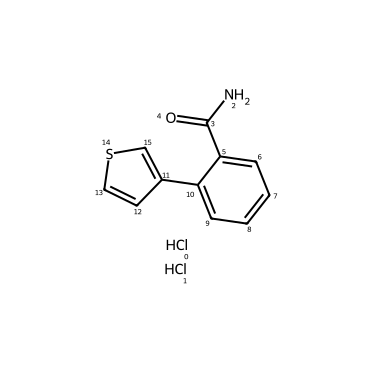 Cl.Cl.NC(=O)c1ccccc1-c1ccsc1